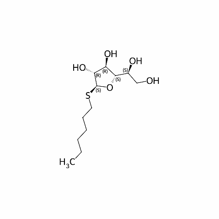 CCCCCCS[C@@H]1O[C@@H]([C@@H](O)CO)[C@H](O)[C@H]1O